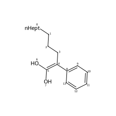 CCCCCCCCCCC(=C(O)O)c1ccccc1